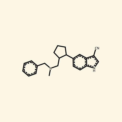 CN(Cc1ccccc1)CC1CCCC1c1ccc2[nH]cc(C#N)c2c1